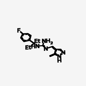 C=c1[nH]nc/c1=C/N=C(\N)NC(CC)(CC)c1ccc(F)cc1